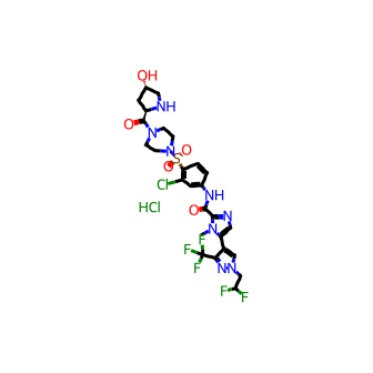 Cl.Cn1c(-c2cn(CC(F)F)nc2C(F)(F)F)cnc1C(=O)Nc1ccc(S(=O)(=O)N2CCN(C(=O)[C@H]3C[C@H](O)CN3)CC2)c(Cl)c1